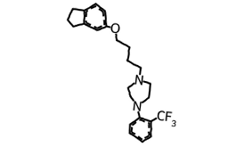 FC(F)(F)c1ccccc1N1CCN(CCCCOc2ccc3c(c2)CCC3)CC1